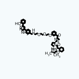 CNC(C)C(=O)NC(C(=O)N1CCC[C@H]1c1nc(C(=O)c2cccc(OCCOCCOCCNCc3ccc(-c4cc(-c5ccccc5O)nnc4N)cc3)c2)cs1)C1CCCCC1